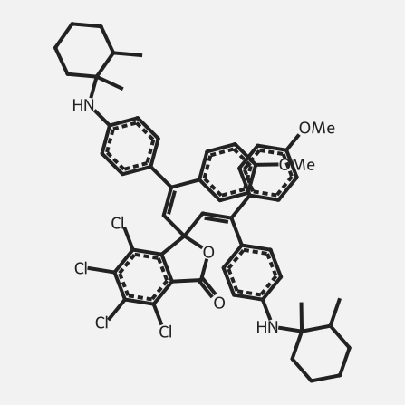 COc1ccc(C(=CC2(C=C(c3ccc(NC4(C)CCCCC4C)cc3)c3ccc(OC)cc3)OC(=O)c3c(Cl)c(Cl)c(Cl)c(Cl)c32)c2ccc(NC3(C)CCCCC3C)cc2)cc1